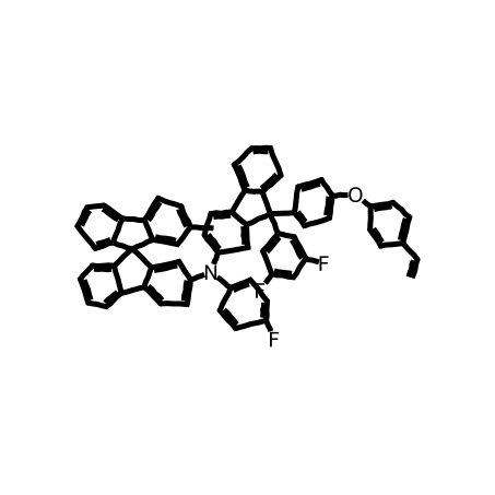 C=Cc1ccc(Oc2ccc(C3(c4cc(F)cc(F)c4)c4ccccc4-c4ccc(N(c5ccc(F)cc5)c5ccc6c(c5)C5(c7ccccc7-c7ccc(C)cc75)c5ccccc5-6)cc43)cc2)cc1